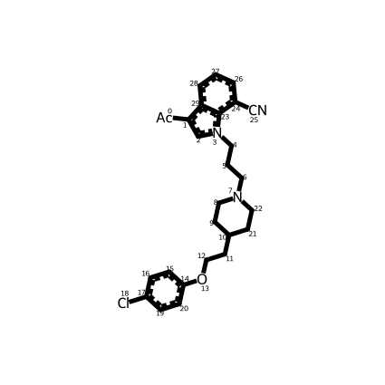 CC(=O)c1cn(CCCN2CCC(CCOc3ccc(Cl)cc3)CC2)c2c(C#N)cccc12